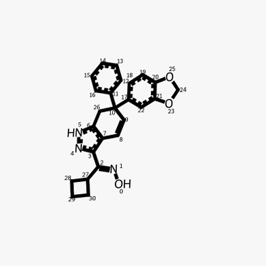 ON=C(c1n[nH]c2c1C=CC(c1ccccc1)(c1ccc3c(c1)OCO3)C2)C1CCC1